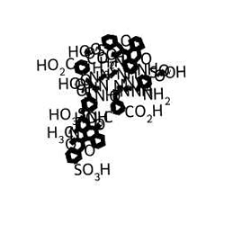 Cn1c(=O)c(C(=O)c2cccc(SOOO)c2)c2c3c(c(Nc4cc(Nc5nc(NCCNc6nc(Nc7cc(Nc8ccc9c%10c8C(=O)c8ccccc8-c%10c(C(=O)c8cccc(S(=O)(=O)O)c8)c(=O)n9C)c(S(=O)(=O)O)cc7SOOO)nc(Oc7cc(C(=O)O)cc(C(=O)O)c7)n6)nc(Oc6cc(C(=O)O)cc(C(=O)O)c6)n5)c(N)cc4SOOO)ccc31)C(=O)c1ccccc1-2